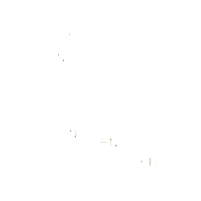 CCSNCc1cncc(-c2cc3c4c(c2)CCC(=O)N4CCC3)c1